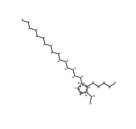 CCCCCCCCCCCCCCCC[n+]1ccn(CC)c1CCCCC